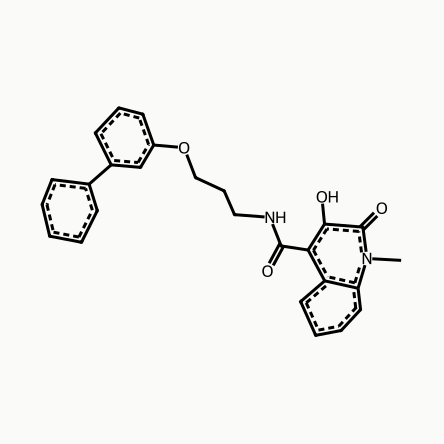 Cn1c(=O)c(O)c(C(=O)NCCCOc2cccc(-c3ccccc3)c2)c2ccccc21